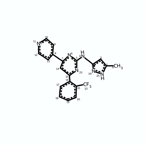 Cc1cc(Nc2nc(-c3ccncc3)cc(-c3ccccc3C(F)(F)F)n2)n[nH]1